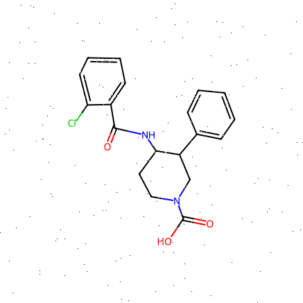 O=C(NC1CCN(C(=O)O)CC1c1ccccc1)c1ccccc1Cl